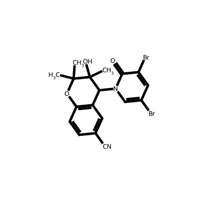 CC1(C)Oc2ccc(C#N)cc2C(n2cc(Br)cc(Br)c2=O)C1(C)O